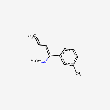 C=C/C=C(\N=C)c1cccc(C)c1